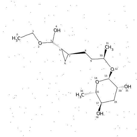 CCOC(O)[C@H]1C[C@@H]1CC[C@@H](C)O[C@@H]1O[C@@H](C)[C@H](O)C[C@H]1O